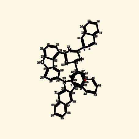 c1ccc(-c2nc(-c3ccc4ccccc4c3)nc(-c3cccc4oc5ccc(-n6c7cc8ccccc8cc7c7c8ccccc8ccc76)cc5c34)n2)cc1